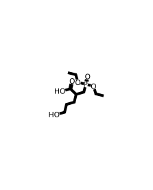 CCOP(=O)(CC(CCCO)C(=O)O)OCC